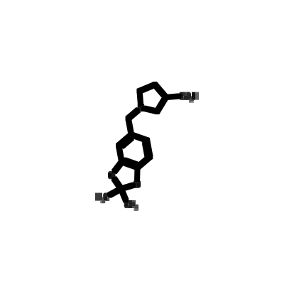 CC1(C)Oc2ccc(CN3CCC(C(=O)O)C3)cc2O1